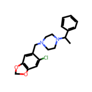 CC(c1ccccc1)N1CCN(Cc2cc3c(cc2Cl)OCO3)CC1